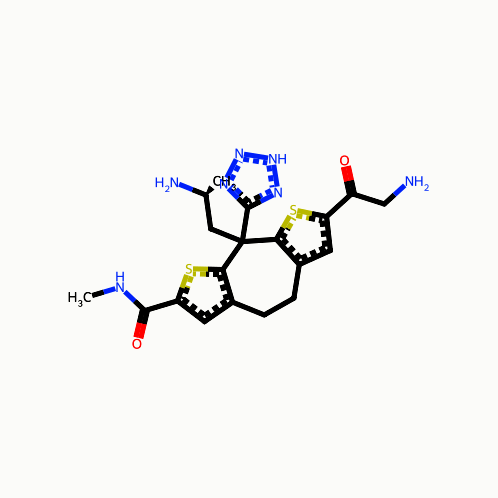 CNC(=O)c1cc2c(s1)C(C[C@H](C)N)(c1nn[nH]n1)c1sc(C(=O)CN)cc1CC2